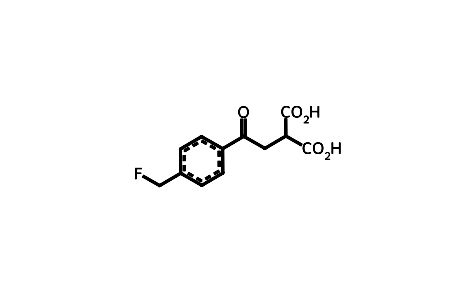 O=C(CC(C(=O)O)C(=O)O)c1ccc(CF)cc1